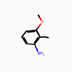 [CH2]c1c(N)cccc1OC